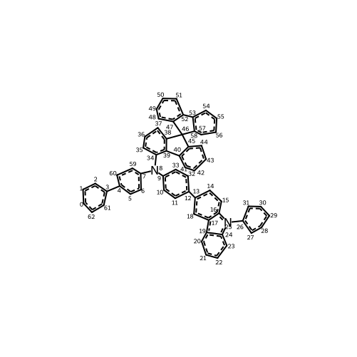 c1ccc(-c2ccc(N(c3ccc(-c4ccc5c(c4)c4ccccc4n5-c4ccccc4)cc3)c3cccc4c3-c3ccccc3C43c4ccccc4-c4ccccc43)cc2)cc1